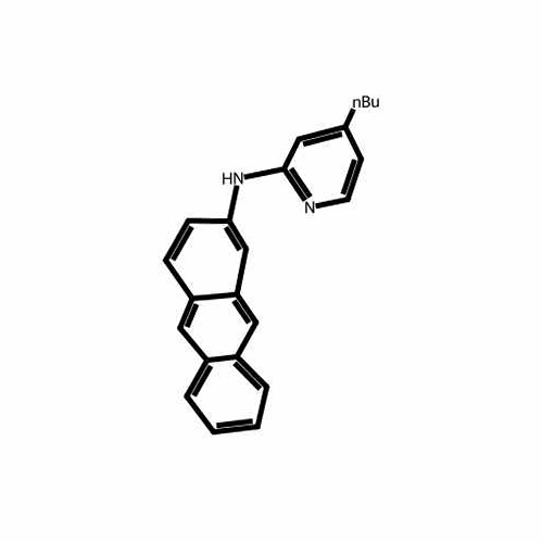 CCCCc1ccnc(Nc2ccc3cc4ccccc4cc3c2)c1